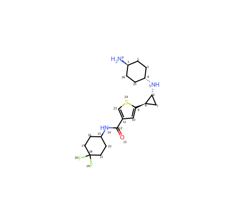 N[C@H]1CC[C@H](N[C@@H]2C[C@H]2c2cc(C(=O)NC3CCC(F)(F)CC3)cs2)CC1